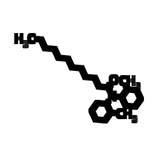 CCCCCCCCCCCC(=O)N(C1CCCCC1C)C1CCCCC1C